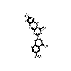 COc1ccc2c(c1)C(=O)CN(c1nc(C)n(Cc3ccc(C(F)(F)F)s3)c(=O)n1)C2